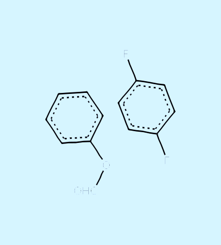 Fc1ccc(F)cc1.O=COc1ccccc1